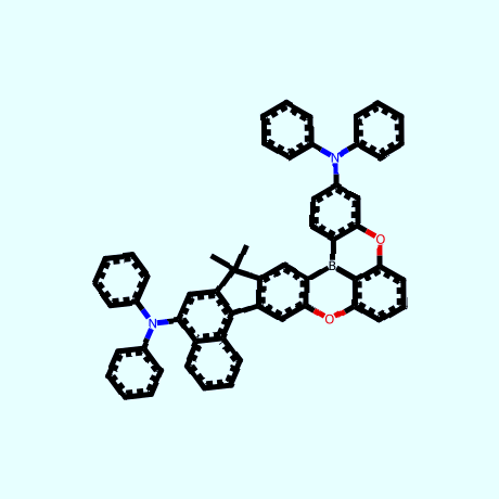 CC1(C)c2cc3c(cc2-c2c1cc(N(c1ccccc1)c1ccccc1)c1ccccc21)Oc1cccc2c1B3c1ccc(N(c3ccccc3)c3ccccc3)cc1O2